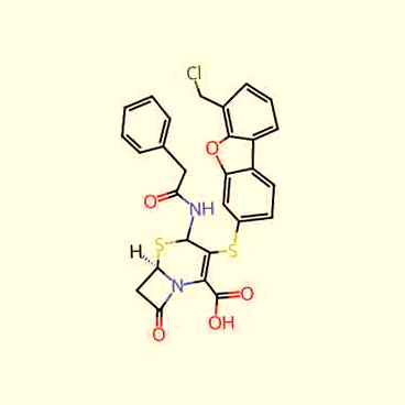 O=C(Cc1ccccc1)NC1S[C@@H]2CC(=O)N2C(C(=O)O)=C1Sc1ccc2c(c1)oc1c(CCl)cccc12